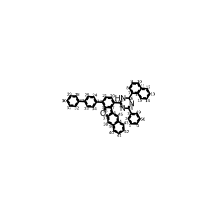 c1ccc(C2=NC(c3cccc4ccccc34)NC(c3ccc(-c4ccc(-c5ccccc5)cc4)c4oc5cc6ccccc6cc5c34)=N2)cc1